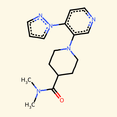 CN(C)C(=O)C1CCN(c2cnccc2-n2cccn2)CC1